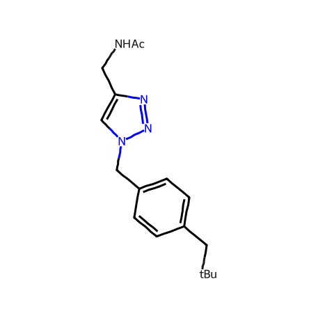 CC(=O)NCc1cn(Cc2ccc(CC(C)(C)C)cc2)nn1